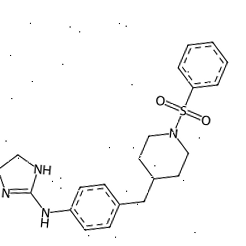 O=S(=O)(c1ccccc1)N1CCC(Cc2ccc(NC3=NCCN3)cc2)CC1